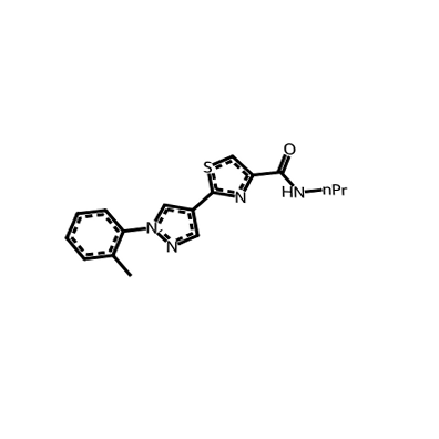 CCCNC(=O)c1csc(-c2cnn(-c3ccccc3C)c2)n1